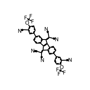 N#CC(C#N)=C1C2=C(C(=C(C#N)C#N)c3cc(-c4ccc(OC(F)(F)F)c(C#N)c4)ccc32)c2ccc(-c3ccc(OC(F)(F)F)c(C#N)c3)cc21